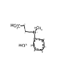 CN(CCC(=O)O)c1ccccc1.Cl